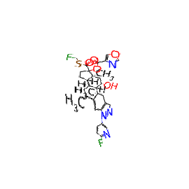 C[C@H]1C[C@@H]2[C@H]([C@@H](O)C[C@@]3(C)[C@H]2CC[C@]3(OC(=O)c2cocn2)C(=O)SCF)[C@@]2(C)Cc3cnn(-c4ccc(F)nc4)c3C=C12